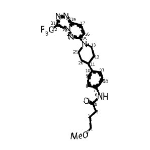 COCCCC(=O)Nc1ccc(C2CCN(c3ccc4nnc(C(F)(F)F)n4n3)CC2)cc1